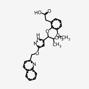 COc1cccc(CC(=O)O)c1OC(c1cc(OCc2ccc3ccccc3n2)n[nH]1)C(C)C